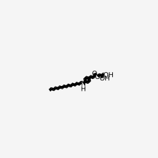 CCCCCCCCCCCCCCCCNc1ccc(C=CC(=O)OCC(O)CO)cc1